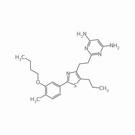 CCCCOc1cc(-c2nc(CCc3nc(N)cc(N)n3)c(CCC)s2)ccc1C